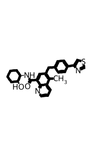 Cc1c(Cc2ccc(-c3cscn3)cc2)cc(C(=O)N[C@H]2CCCC[C@@H]2O)c2ncccc12